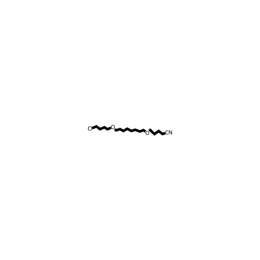 N#CCCCCOCCCCCCCCOCCCCCl